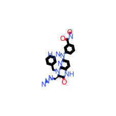 [N-]=[N+]=NC[C@@H]1C(=O)Nc2ccc(N(N)c3cccc(C(=O)N=O)c3)nc2N1Cc1ccccc1